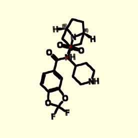 O=C(N[C@@H]1C[C@H]2CC[C@@H](C1)N2S(=O)(=O)CC1CCNCC1)c1ccc2c(c1)OC(F)(F)O2